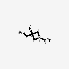 CCCN1CC(F)(CC(C)C)C1